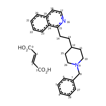 O=C(O)C=CC(=O)O.c1ccc(CN2CCC(CCc3nccc4ccccc34)CC2)cc1